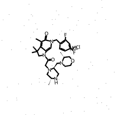 Cc1c2c(cn(Cc3ccc(F)cc3F)c1=O)N(C(=O)CN1C[C@@H](C)NC[C@@H]1CN1CCOC[C@H]1C)CC2(C)C.Cl.Cl